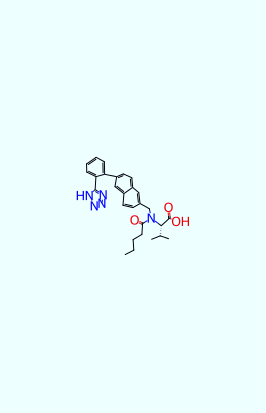 CCCCC(=O)N(Cc1ccc2cc(-c3ccccc3-c3nnn[nH]3)ccc2c1)[C@H](C(=O)O)C(C)C